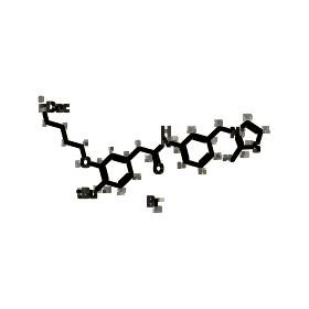 CCCCCCCCCCCCCCOc1cc(CC(=O)Nc2cccc(C[n+]3ccsc3C)c2)ccc1C(C)(C)C.[Br-]